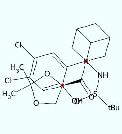 CC1(C)OC[C@H](C(=O)N2CC3CC(C2)C3C(N[S+]([O-])C(C)(C)C)c2cc(Cl)c(Cl)cc2O)O1